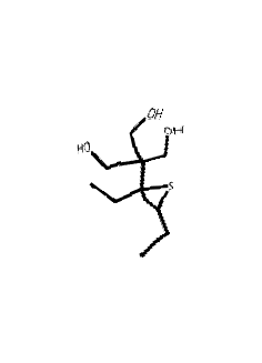 CCC1SC1(CC)C(CO)(CO)CO